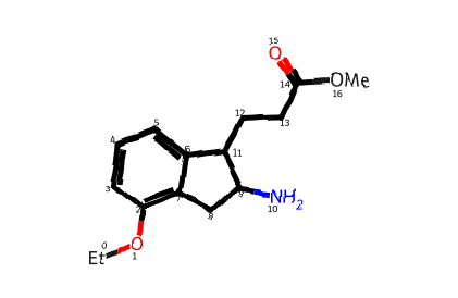 CCOc1cccc2c1CC(N)C2CCC(=O)OC